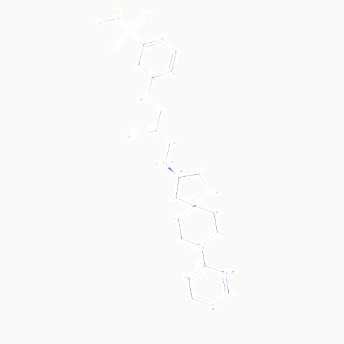 CNS(=O)(=O)c1cccc(OCC(O)CN[C@H]2COC3(CCN(c4ccccn4)CC3)C2)c1